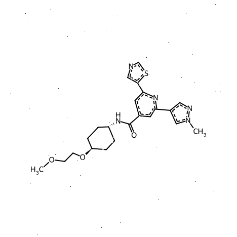 COCCO[C@H]1CC[C@H](NC(=O)c2cc(-c3cnn(C)c3)nc(-c3cncs3)c2)CC1